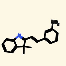 CC1(C)C(C=Cc2cccc([N+](=O)[O-])c2)=Nc2ccccc21